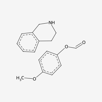 COc1ccc(OC=O)cc1.c1ccc2c(c1)CCNC2